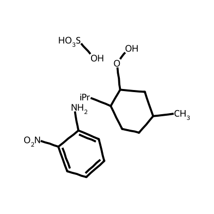 CC1CCC(C(C)C)C(OO)C1.Nc1ccccc1[N+](=O)[O-].O=S(=O)(O)O